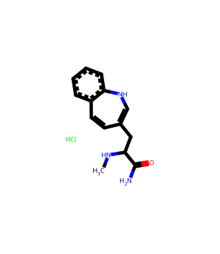 CNC(CC1=CNc2ccccc2C=C1)C(N)=O.Cl